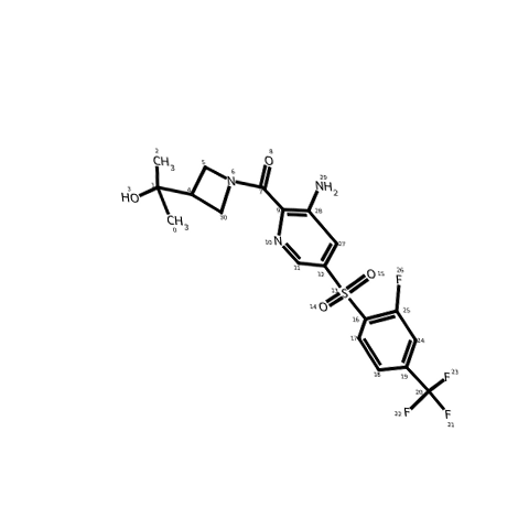 CC(C)(O)C1CN(C(=O)c2ncc(S(=O)(=O)c3ccc(C(F)(F)F)cc3F)cc2N)C1